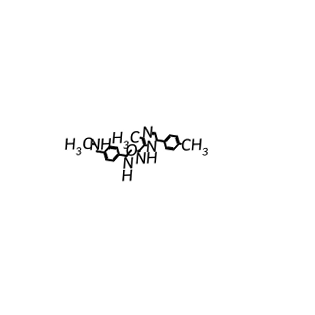 CNCc1ccc(C(=N)OC(=N)c2nc(-c3ccc(C)cc3)cnc2C)cc1